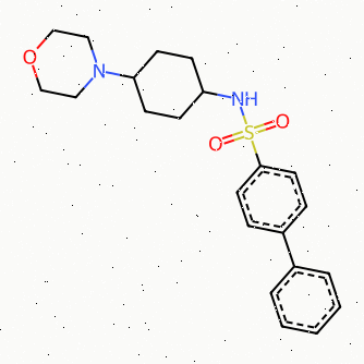 O=S(=O)(NC1CCC(N2CCOCC2)CC1)c1ccc(-c2ccccc2)cc1